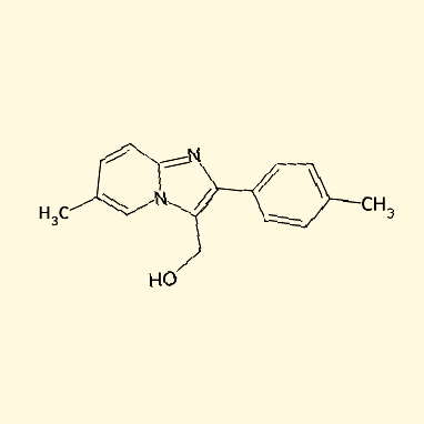 Cc1ccc(-c2nc3ccc(C)cn3c2CO)cc1